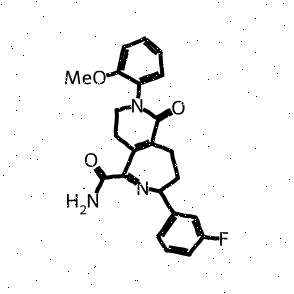 COc1ccccc1N1CCC2=C(CCC(c3cccc(F)c3)N=C2C(N)=O)C1=O